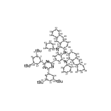 CC(C)(C)c1cc(-c2nc(-c3cc(C(C)(C)C)cc(C(C)(C)C)c3)nc(-c3cc4c5c(c3)N(c3ccccc3)c3c(ccc6cc7ccccc7cc36)B5c3ccc5cc6ccccc6cc5c3N4c3ccccc3)n2)cc(C(C)(C)C)c1